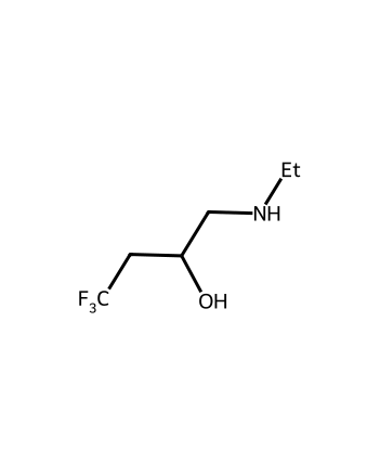 CCNCC(O)CC(F)(F)F